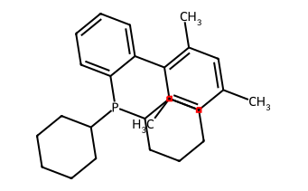 Cc1cc(C)c(-c2ccccc2P(C2CCCCC2)C2CCCCC2)c(C)c1